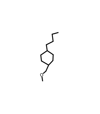 CCCCC1CCC(COC)CC1